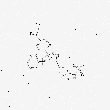 CS(=O)(=O)N[C@@H]1CN(C2=NOC(CF)(c3ncc(C(F)F)cc3-c3c(F)cccc3F)C2)CC1(F)F